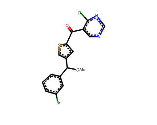 COC(c1cccc(Br)c1)c1csc(C(=O)c2cncnc2Cl)c1